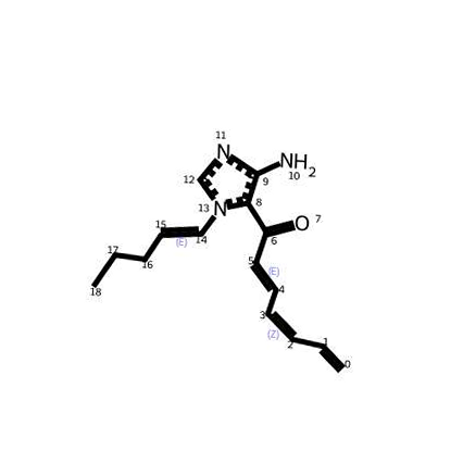 C=C/C=C\C=C\C(=O)c1c(N)ncn1/C=C/CCC